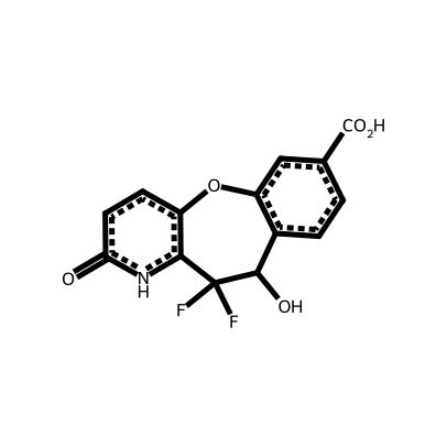 O=C(O)c1ccc2c(c1)Oc1ccc(=O)[nH]c1C(F)(F)C2O